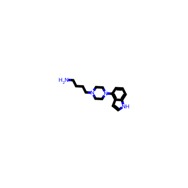 NCCCCN1CCN(c2cccc3[nH]ccc23)CC1